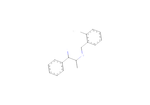 COc1ccccc1CNC(C)C(N)c1ccccc1